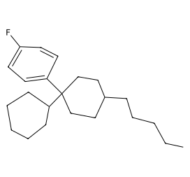 CCCCCC1CCC(c2ccc(F)cc2)(C2CCCCC2)CC1